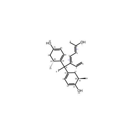 C=C/C(=C\C=C(/C)O)C(I)(C1=CC=C(O)[C@H](C)C1)C1=CC=C(O)C[C@H]1C